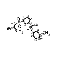 C=C(NS(=O)(=O)c1cccc(C(=O)Nc2ccc(F)c(C)c2)c1)C(C)C